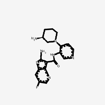 Nc1sc2cc(F)cnc2c1C(=O)Nc1cnccc1N1CCC[C@H](N)C1